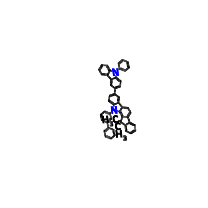 CC1(C)c2ccccc2-c2ccc3c4cc(-c5ccc6c(c5)c5ccccc5n6-c5ccccc5)ccc4n(-c4cccc(-c5ccccc5)c4)c3c21